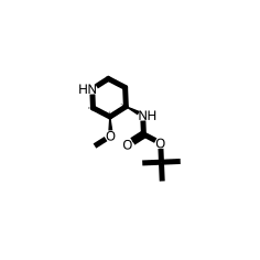 CO[C@H]1[CH]NCC[C@H]1NC(=O)OC(C)(C)C